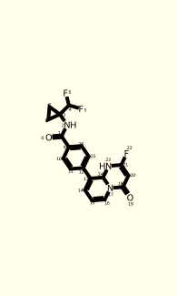 O=C(NC1(C(F)F)CC1)c1ccc(C2=CC=CN3C(=O)C=C(F)NC23)cc1